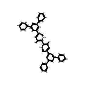 Cc1cc(-c2cc(-c3ccccc3)cc(-c3ccccc3)c2)cnc1-c1ncc(-c2cc(-c3ccccc3)cc(-c3ccccc3)c2)cc1C